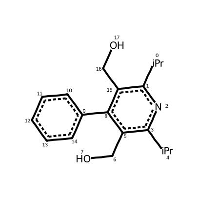 CC(C)c1nc(C(C)C)c(CO)c(-c2ccccc2)c1CO